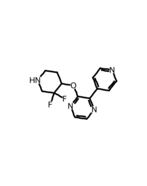 FC1(F)CNCCC1Oc1nccnc1-c1ccncc1